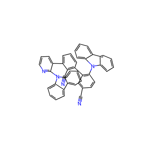 N#Cc1ccc(-n2c3ccccc3c3ccccc32)c(-c2cccc(-c3cccnc3-n3c4ccccc4c4ccccc43)c2C#N)c1